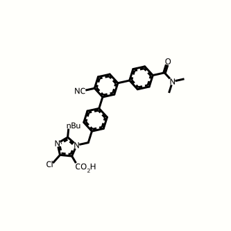 CCCCc1nc(Cl)c(C(=O)O)n1Cc1ccc(-c2cc(-c3ccc(C(=O)N(C)C)cc3)ccc2C#N)cc1